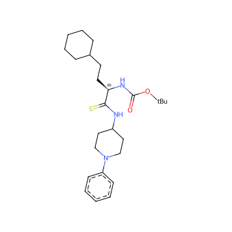 CC(C)(C)OC(=O)N[C@H](CCC1CCCCC1)C(=S)NC1CCN(c2ccccc2)CC1